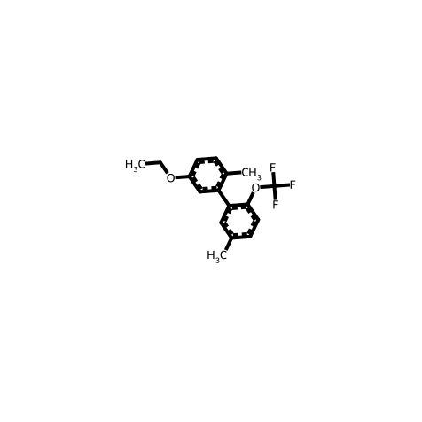 CCOc1ccc(C)c(-c2cc(C)ccc2OC(F)(F)F)c1